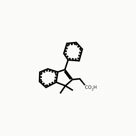 CC1(C)C(CC(=O)O)=C(c2ccccc2)c2ccccc21